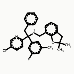 CC1(C)Cc2cccc(CNC(Cc3ccccc3)(c3cc(F)cc(C(F)(F)F)c3)c3ccc(Cl)cn3)c2O1